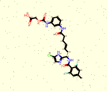 Cc1cc(F)c(C(=O)N[C@@H](C/C=C/CCC(=O)Nc2cccc(NC(=O)OCC(=O)O)c2)c2ncc(Cl)[nH]2)c(F)c1